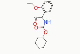 CCOc1ccccc1C([C]=O)NC(=O)OC1CCCCC1